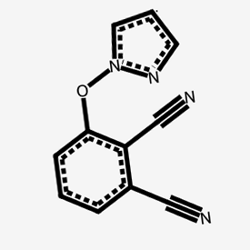 N#Cc1cccc(On2c[c]cn2)c1C#N